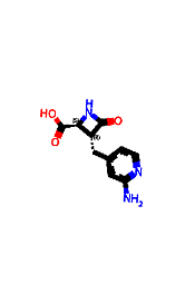 Nc1cc(C[C@H]2C(=O)N[C@@H]2C(=O)O)ccn1